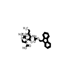 CC[C@H](C)[C@H](NC(=O)OCC1c2ccccc2-c2ccccc21)C(=O)N1[C@H](C(=O)O)COC1(C)C